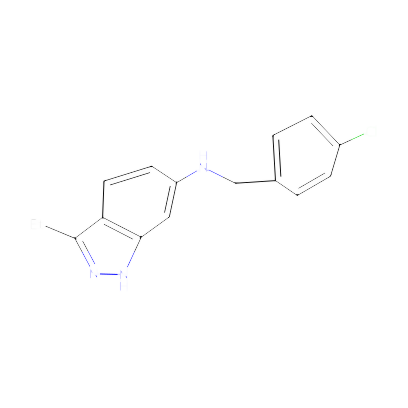 CCc1n[nH]c2cc(NCc3ccc(Cl)cc3)ccc12